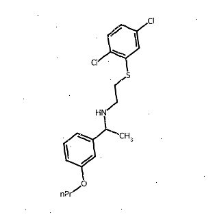 CCCOc1cccc(C(C)NCCSc2cc(Cl)ccc2Cl)c1